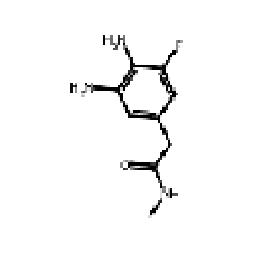 CNC(=O)Cc1cc(N)c(N)c(F)c1